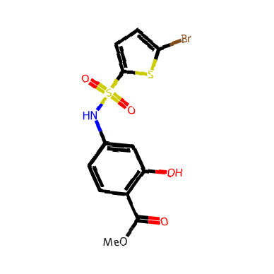 COC(=O)c1ccc(NS(=O)(=O)c2ccc(Br)s2)cc1O